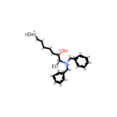 CCCCCCCCCCCCCCC[C@@H](O)[C@H](CC)N(Cc1ccccc1)Cc1ccccc1